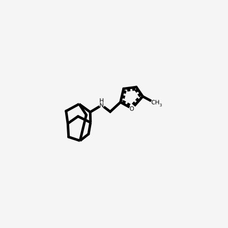 Cc1ccc(CNC2C3CC4CC(C3)CC2C4)o1